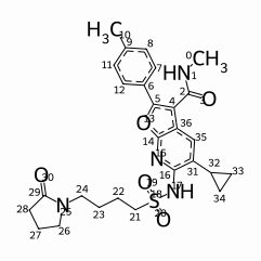 CNC(=O)c1c(-c2ccc(C)cc2)oc2nc(NS(=O)(=O)CCCCN3CCCC3=O)c(C3CC3)cc12